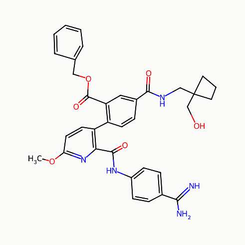 COc1ccc(-c2ccc(C(=O)NCC3(CO)CCC3)cc2C(=O)OCc2ccccc2)c(C(=O)Nc2ccc(C(=N)N)cc2)n1